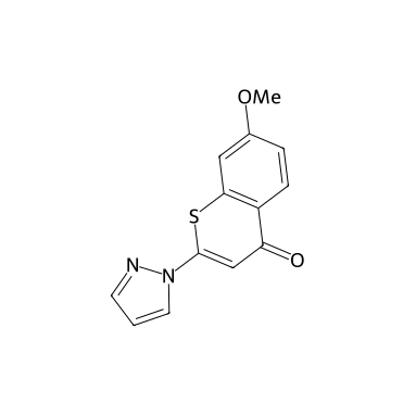 COc1ccc2c(=O)cc(-n3cccn3)sc2c1